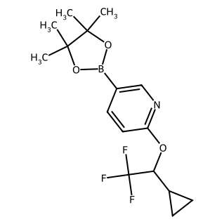 CC1(C)OB(c2ccc(OC(C3CC3)C(F)(F)F)nc2)OC1(C)C